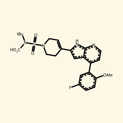 COc1ccc(F)cc1-c1ccnc2[nH]c(C3=CCN(S(=O)(=O)N(C(=O)O)C(C)(C)C)CC3)cc12